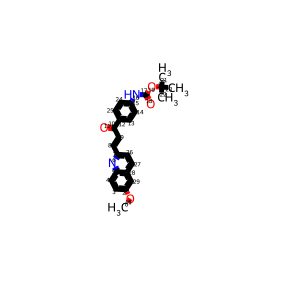 COc1ccc2nc(/C=C/C(=O)c3ccc(NC(=O)OC(C)(C)C)cc3)ccc2c1